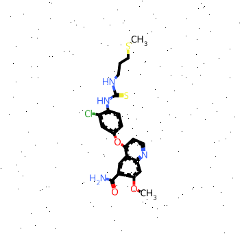 COc1cc2nccc(Oc3ccc(NC(=S)NCCCSC)c(Cl)c3)c2cc1C(N)=O